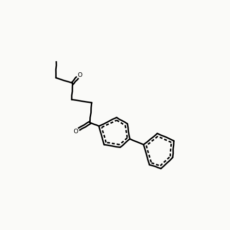 CCC(=O)CCC(=O)c1ccc(-c2ccccc2)cc1